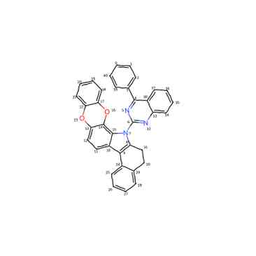 c1ccc(-c2nc(-n3c4c(c5ccc6c(c53)Oc3ccccc3O6)-c3ccccc3CC4)nc3ccccc23)cc1